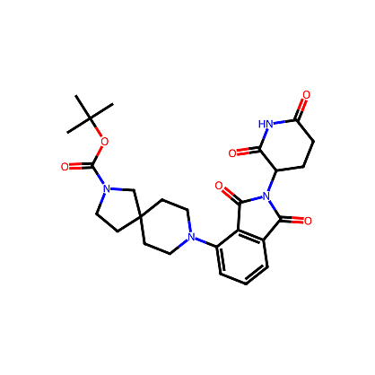 CC(C)(C)OC(=O)N1CCC2(CCN(c3cccc4c3C(=O)N(C3CCC(=O)NC3=O)C4=O)CC2)C1